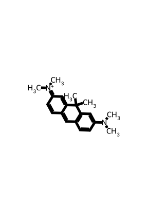 CN(C)c1ccc2c(c1)C(C)(C)C1=CC(=[N+](C)C)C=CC1=C2